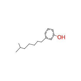 CC(C)CCCCCc1cccc(O)c1